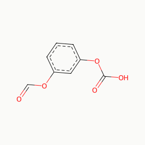 O=COc1cccc(OC(=O)O)c1